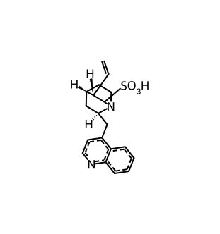 C=C[C@@H]1C(S(=O)(=O)O)N2CC[C@H]1C[C@@H]2Cc1ccnc2ccccc12